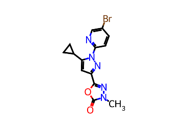 Cn1nc(-c2cc(C3CC3)n(-c3ccc(Br)cn3)n2)oc1=O